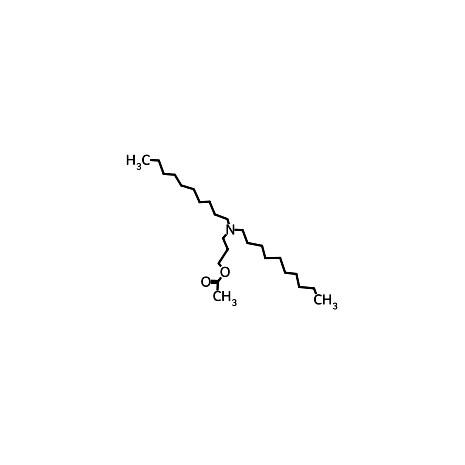 CCCCCCCCCCN(CCCCCCCCCC)CCCOC(C)=O